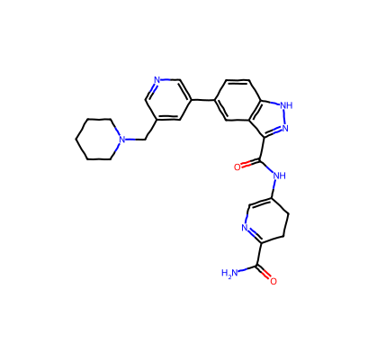 NC(=O)C1=NC=C(NC(=O)c2n[nH]c3ccc(-c4cncc(CN5CCCCC5)c4)cc23)CC1